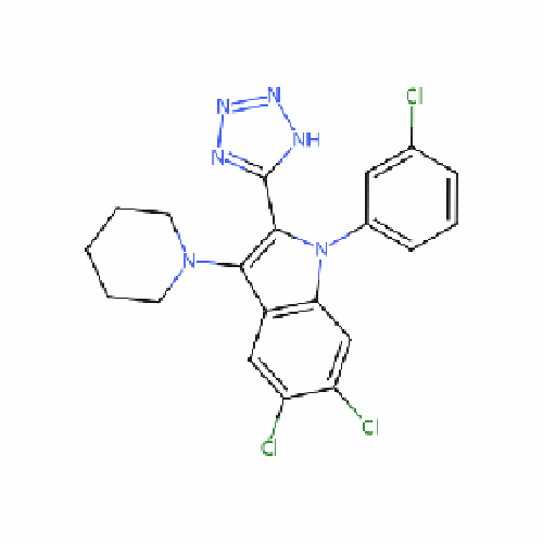 Clc1cccc(-n2c(-c3nnn[nH]3)c(N3CCCCC3)c3cc(Cl)c(Cl)cc32)c1